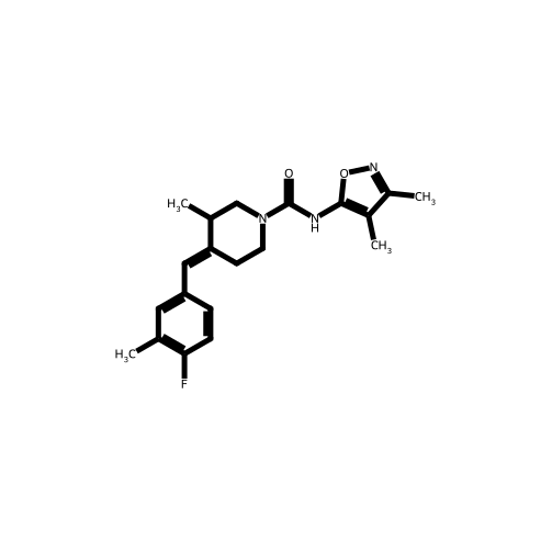 Cc1cc(C=C2CCN(C(=O)Nc3onc(C)c3C)CC2C)ccc1F